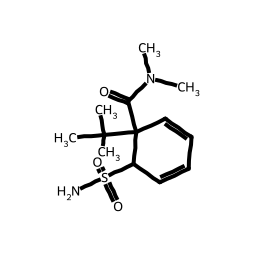 CN(C)C(=O)C1(C(C)(C)C)C=CC=CC1S(N)(=O)=O